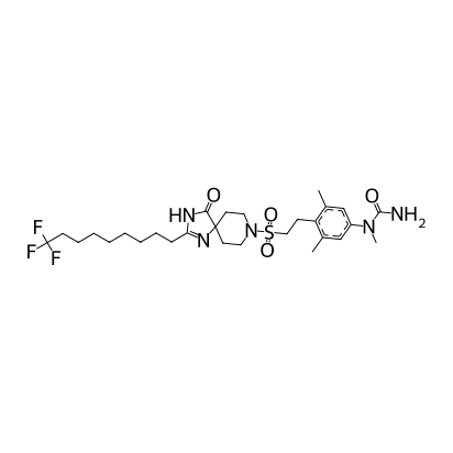 Cc1cc(N(C)C(N)=O)cc(C)c1CCS(=O)(=O)N1CCC2(CC1)N=C(CCCCCCCCC(F)(F)F)NC2=O